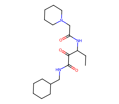 CCC(NC(=O)CN1CCCCC1)C(=O)C(=O)NCC1CCCCC1